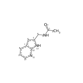 CC(=O)NCc1cc2cccnc2[nH]1